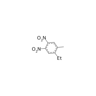 CCc1cc([N+](=O)[O-])c([N+](=O)[O-])cc1C